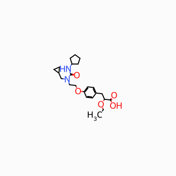 CCOC(Cc1ccc(OCCN(CC2CC2)C(=O)NC2CCCC2)cc1)C(=O)O